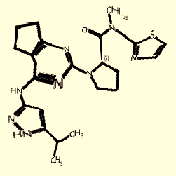 CC(C)c1cc(Nc2nc(N3CCC[C@@H]3C(=O)N(C)c3nccs3)nc3c2CCC3)n[nH]1